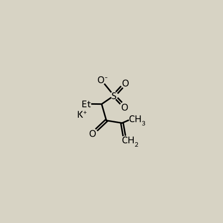 C=C(C)C(=O)C(CC)S(=O)(=O)[O-].[K+]